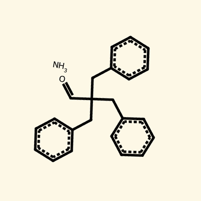 N.O=CC(Cc1ccccc1)(Cc1ccccc1)Cc1ccccc1